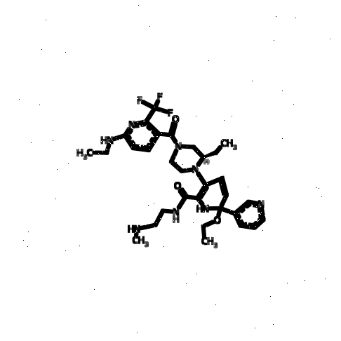 CCNc1ccc(C(=O)N2CCN(C3=C(C(=O)NCCNC)NC(OCC)(c4cccnc4)C=C3)[C@H](CC)C2)c(C(F)(F)F)n1